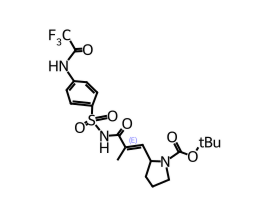 C/C(=C\C1CCCN1C(=O)OC(C)(C)C)C(=O)NS(=O)(=O)c1ccc(NC(=O)C(F)(F)F)cc1